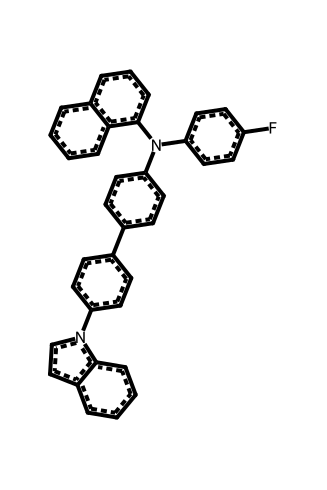 Fc1ccc(N(c2ccc(-c3ccc(-n4ccc5ccccc54)cc3)cc2)c2cccc3ccccc23)cc1